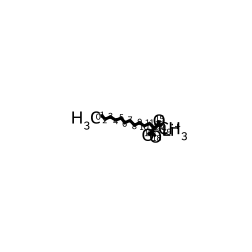 CCCCCCCCCCCCC(C(C)=O)C(=O)[O-].[Li+]